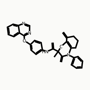 C=C1CCCC2=C1CC(C)(C(=C)Nc1ccc(Oc3ncnc4ccccc34)cc1)C(=C)N2c1ccccc1